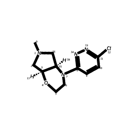 CN1C[C@@H]2OCCN(c3ccc(Cl)nn3)[C@@H]2C1